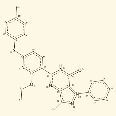 CCOc1nc(Sc2ccc(C)cc2)ccc1-c1nc2c(C)nn(-c3ccccc3)c2c(=O)[nH]1